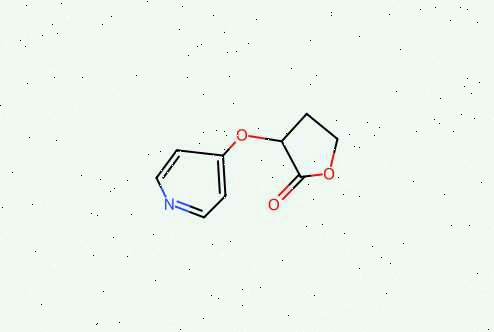 O=C1OCCC1Oc1ccncc1